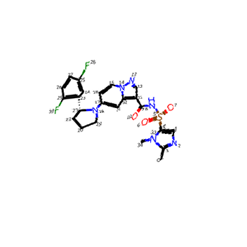 Cc1ncc(S(=O)(=O)NC(=O)c2cnn3ccc(N4CCC[C@@H]4c4cc(F)ccc4F)cc23)n1C